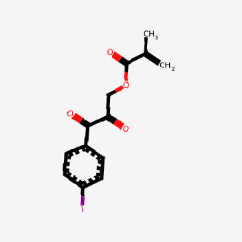 C=C(C)C(=O)OCC(=O)C(=O)c1ccc(I)cc1